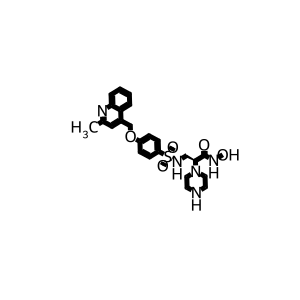 Cc1cc(COc2ccc(S(=O)(=O)NC[C@@H](C(=O)NO)N3CCNCC3)cc2)c2ccccc2n1